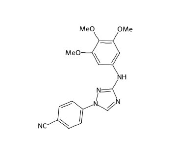 COc1cc(Nc2ncn(-c3ccc(C#N)cc3)n2)cc(OC)c1OC